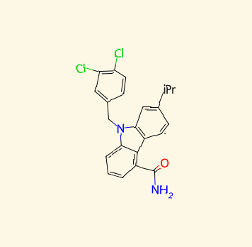 CC(C)c1c[c]c2c3c(C(N)=O)cccc3n(Cc3ccc(Cl)c(Cl)c3)c2c1